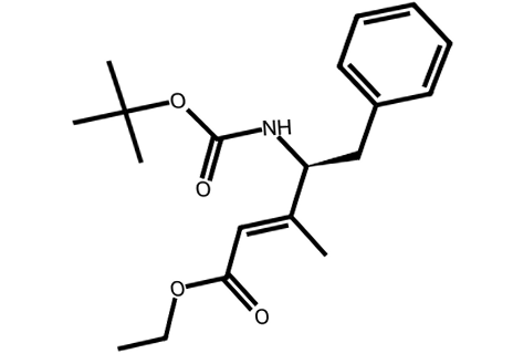 CCOC(=O)/C=C(\C)[C@H](Cc1ccccc1)NC(=O)OC(C)(C)C